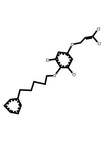 ClC(Cl)=CCOc1cc(Cl)c(OCCCCCc2ccccc2)c(Cl)c1